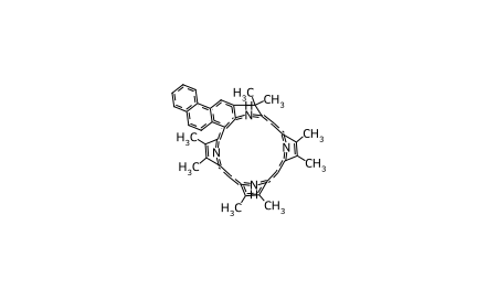 CC1=C(C)c2cc3[nH]c(cc4nc(c5c6[nH]c(cc1n2)C(C)(C)c6cc1c2ccccc2ccc15)C(C)=C4C)c(C)c3C